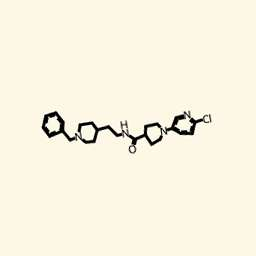 O=C(NCCC1CCN(Cc2ccccc2)CC1)C1CCN(c2ccc(Cl)nc2)CC1